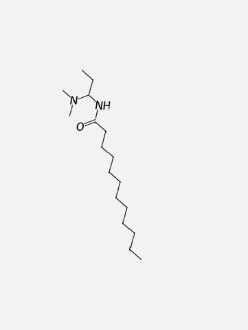 CCCCCCCCCCCC(=O)NC(CC)N(C)C